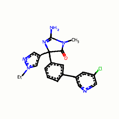 CCn1cc(C2(c3cccc(-c4cncc(Cl)c4)c3)N=C(N)N(C)C2=O)cn1